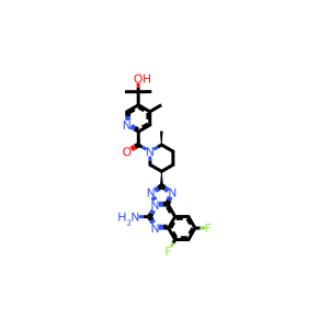 Cc1cc(C(=O)N2C[C@H](c3nc4c5cc(F)cc(F)c5nc(N)n4n3)CC[C@@H]2C)ncc1C(C)(C)O